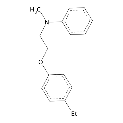 CCc1ccc(OCCN(C)c2ccccc2)cc1